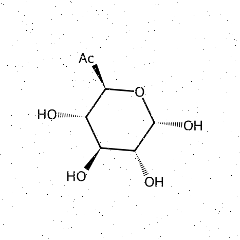 CC(=O)[C@H]1O[C@H](O)[C@H](O)[C@@H](O)[C@@H]1O